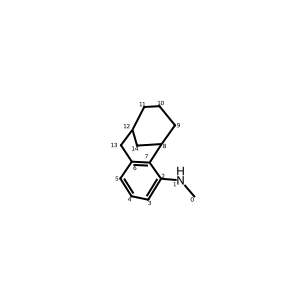 CNc1cccc2c1C1CCCC(C2)C1